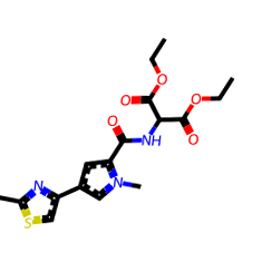 CCOC(=O)C(NC(=O)c1cc(-c2csc(C)n2)cn1C)C(=O)OCC